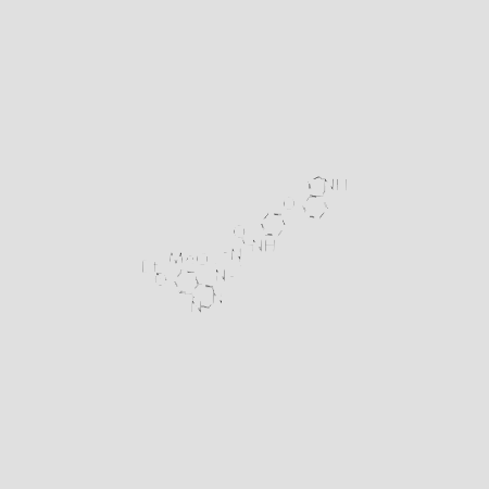 CCOc1cc2ncnc(N3CCN(C(=O)Nc4ccc(Oc5cccc6[nH]ccc56)cc4)CC3)c2cc1OC